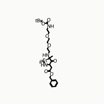 CCC(C)(NCCOCCOCCNC(=O)OC(C)(C)C)C(=O)C(CC(=O)OCc1ccccc1)NC(C)C